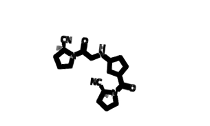 N#C[C@@H]1CCCN1C(=O)CNC1CCC(C(=O)N2CCC[C@H]2C#N)C1